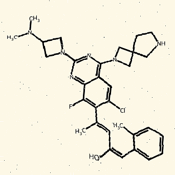 C/C(=C\C(O)=C/c1ccccc1C)c1c(Cl)cc2c(N3CC4(CCNC4)C3)nc(N3CC(N(C)C)C3)nc2c1F